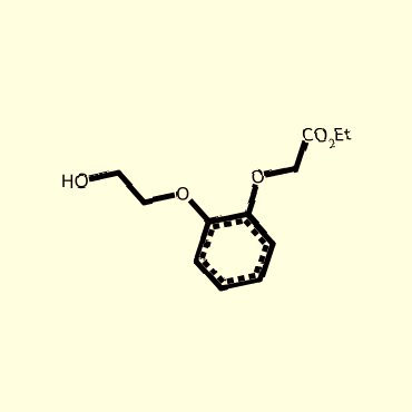 CCOC(=O)COc1ccccc1OCCO